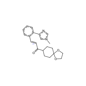 Cn1cnc(-c2ccccc2/C=C/C(=O)C2CCC3(CC2)OCCO3)c1